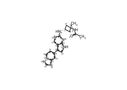 CC(=O)N[C@]1(C)C[C@H](Nc2ncc3c(-c4ccn5ncnc5c4)c[nH]c3n2)C1